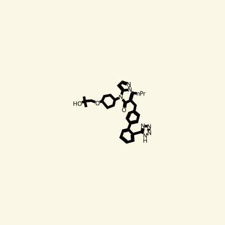 CCCc1c(Cc2ccc(-c3ccccc3-c3nnn[nH]3)cc2)c(=O)n(C2CCC(OCC(C)(C)O)CC2)c2ccnn12